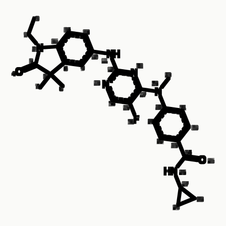 CCN1C(=O)C(C)(C)c2cc(Nc3ncc(F)c(N(C)c4ccc(C(=O)NC5CC5)cc4)n3)ccc21